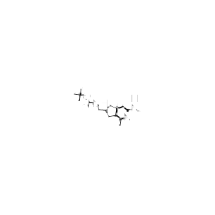 CNc1cc2c(c(C)n1)CC(CNC(=O)OC(C)(C)C)C2